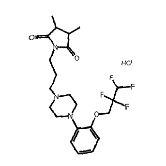 CC1C(=O)N(CCCN2CCN(c3ccccc3OCC(F)(F)C(F)F)CC2)C(=O)C1C.Cl